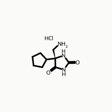 Cl.NC[C@@]1(C2CCCC2)NC(=O)NC1=O